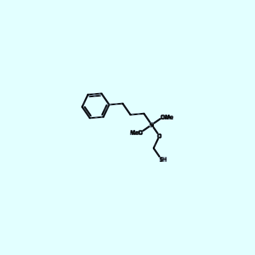 CO[Si](CCCc1ccccc1)(OC)OCS